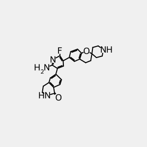 Nc1nc(F)c(-c2ccc3c(c2)CCC2(CCNCC2)O3)cc1-c1ccc2c(c1)CCNC2=O